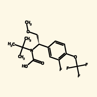 COC[C@H](c1ccc(OC(F)(F)F)c(F)c1)N(C(=O)O)C(C)(C)C